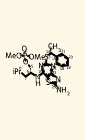 COP(=O)(OC)OC[C@@H](CC(C)C)Nc1nc(S[C@@H](C)c2ccccc2)nc2nc(N)sc12